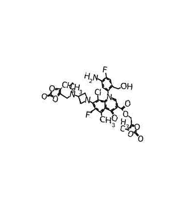 Cc1oc(=O)oc1COC(=O)c1cn(-c2cc(N)c(F)cc2CO)c2c(Cl)c(N3CC(N(C)Cc4oc(=O)oc4C)C3)c(F)c(C)c2c1=O